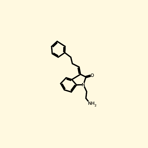 NCCN1C(=O)/C(=C/CCc2ccccc2)c2ccccc21